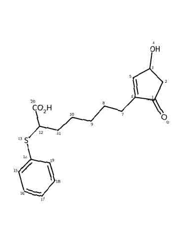 O=C1CC(O)C=C1CCCCCC(Sc1ccccc1)C(=O)O